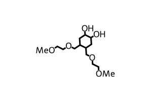 COCCOCC1CC(O)C(O)CC1COCCOC